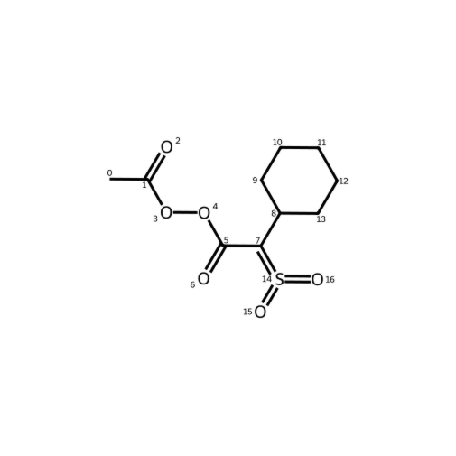 CC(=O)OOC(=O)C(C1CCCCC1)=S(=O)=O